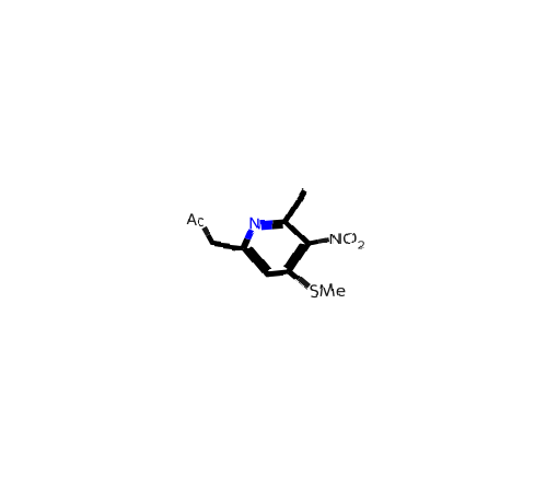 CSc1cc(CC(C)=O)nc(C)c1[N+](=O)[O-]